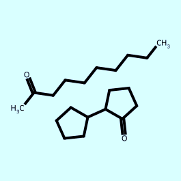 CCCCCCCCC(C)=O.O=C1CCCC1C1CCCC1